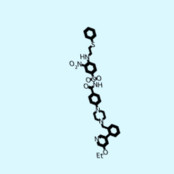 CCOc1cncc(-c2ccccc2CN2CCN(c3ccc(C(=O)NS(=O)(=O)c4ccc(NCCSc5ccccc5)c([N+](=O)[O-])c4)cc3)CC2)c1